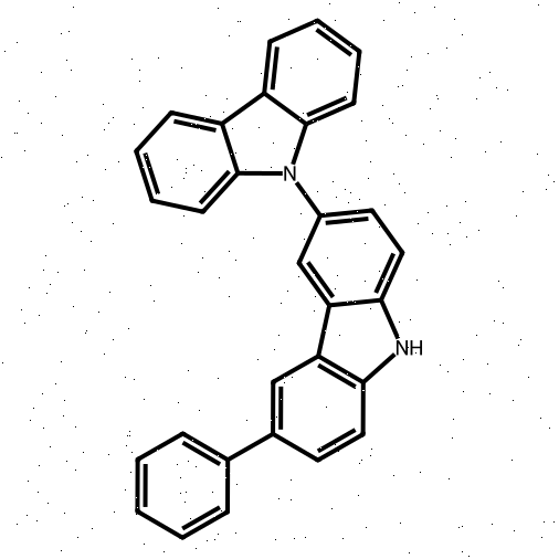 c1ccc(-c2ccc3[nH]c4ccc(-n5c6ccccc6c6ccccc65)cc4c3c2)cc1